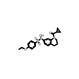 CCOc1ccc(S(=O)(=O)N(O)c2ccc3c(c2)N(C(=O)C2CC2)CCC3)cc1